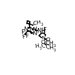 CCC1(c2nc(C(F)(F)F)c3cnc(N[C@@H]4CCN(C(=O)OC(C)(C)C)C[C@H]4F)nn23)CCC1